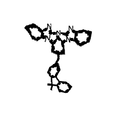 CC1(C)c2ccccc2-c2cc(-c3cc4c5c(c3)n3c6ccccc6nc3n5c3nc5ccccc5n43)ccc21